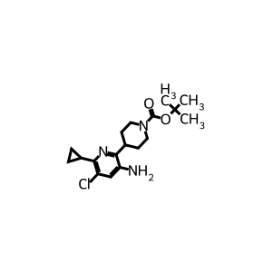 CC(C)(C)OC(=O)N1CCC(c2nc(C3CC3)c(Cl)cc2N)CC1